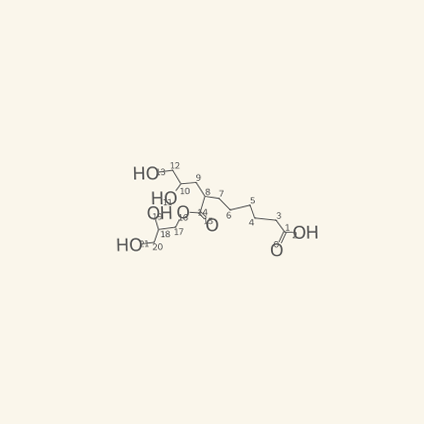 O=C(O)CCCCCC(CC(O)CO)C(=O)OCC(O)CO